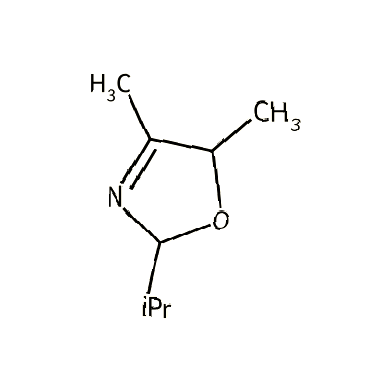 CC1=NC(C(C)C)OC1C